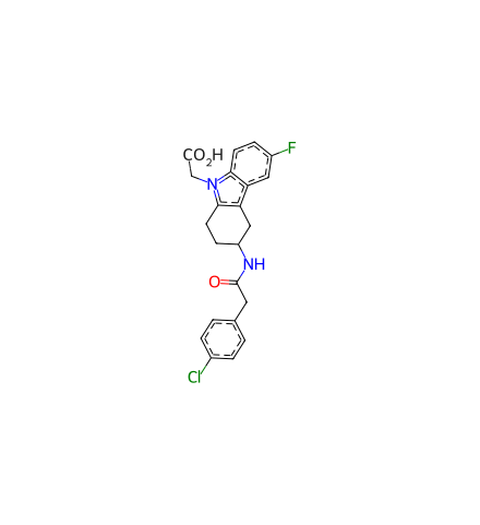 O=C(O)Cn1c2c(c3cc(F)ccc31)CC(NC(=O)Cc1ccc(Cl)cc1)CC2